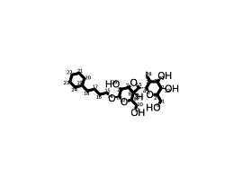 OCC1O[C@H](C2OC3[C@H]2C(CO)O[C@@H](OCCCCC2CCCCC2)[C@H]3O)C(I)C(O)[C@@H]1O